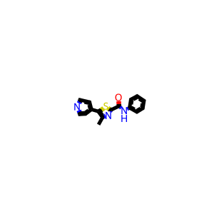 Cc1nc(C(=O)Nc2ccccc2)sc1-c1ccncc1